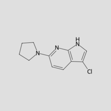 Clc1c[nH]c2nc(N3CCCC3)ccc12